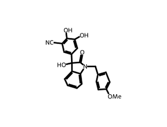 COc1ccc(CN2C(=O)C(O)(c3cc(O)c(O)c(C#N)c3)c3ccccc32)cc1